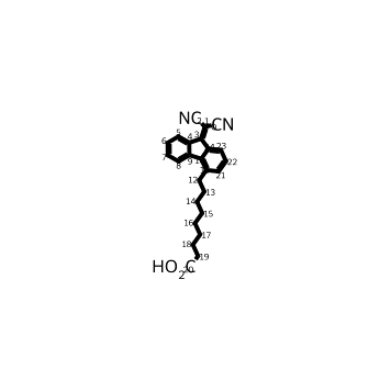 N#CC(C#N)=C1c2ccccc2-c2c(CCCCCCCCC(=O)O)cccc21